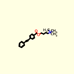 C[N+](C)(C)CCCCOC(=O)c1ccc(C#Cc2ccccc2)cc1